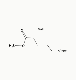 BOC(=O)CCCCCCCCC.[NaH]